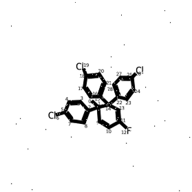 [CH2]C1(c2ccc(Cl)cc2)C=CC(F)=CC1(c1ccc(Cl)cc1)c1ccc(Cl)cc1